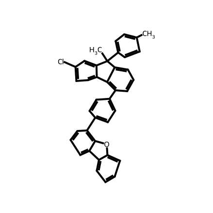 Cc1ccc(C2(C)c3cc(Cl)ccc3-c3c(-c4ccc(-c5cccc6c5oc5ccccc56)cc4)cccc32)cc1